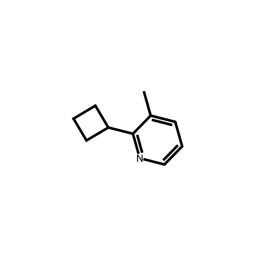 Cc1cccnc1C1CCC1